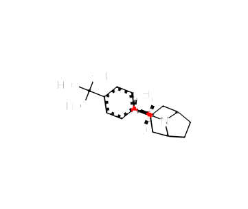 CC(C)(C)c1ccc(S(=O)(=O)N2C3CCC2CC(=NO)C3)cc1